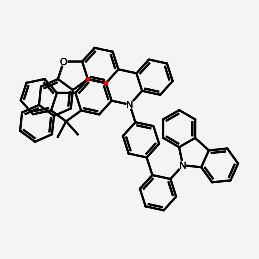 CC1(C)c2ccccc2-c2ccc(N(c3ccc(-c4ccccc4-n4c5ccccc5c5ccccc54)cc3)c3ccccc3-c3ccc4oc5cc6ccccc6cc5c4c3)cc21